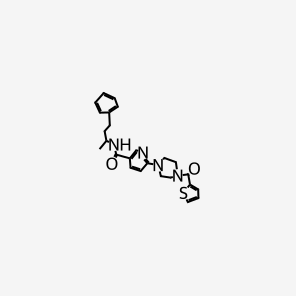 CC(CCc1ccccc1)NC(=O)c1ccc(N2CCN(C(=O)c3cccs3)CC2)nc1